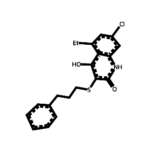 CCc1cc(Cl)cc2[nH]c(=O)c(SCCCc3ccccc3)c(O)c12